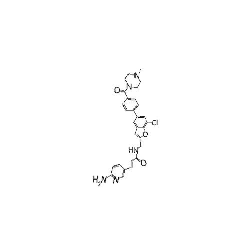 CN1CCN(C(=O)c2ccc(-c3cc(Cl)c4oc(CNC(=O)C=Cc5ccc(N)nc5)cc4c3)cc2)CC1